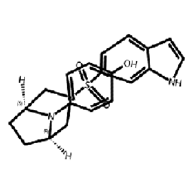 O=S(=O)(c1ccc2cc[nH]c2c1)N1C[C@H]2CC[C@@H](C1)N2c1ccc(O)cc1